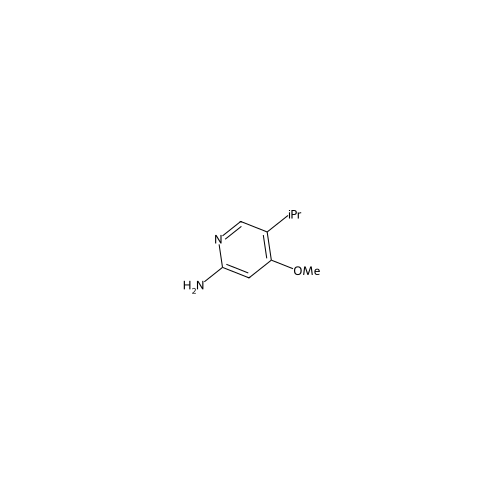 COc1cc(N)ncc1C(C)C